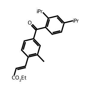 CCOC(=O)C=Cc1ccc(C(=O)c2ccc(C(C)C)cc2C(C)C)cc1C